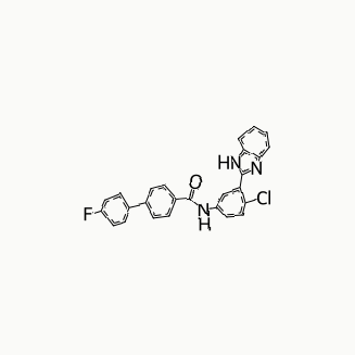 O=C(Nc1ccc(Cl)c(-c2nc3ccccc3[nH]2)c1)c1ccc(-c2ccc(F)cc2)cc1